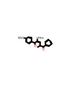 CCCCCCC(=CC(C)C(=O)c1ccccc1)C(=O)c1ccc(SC)cc1